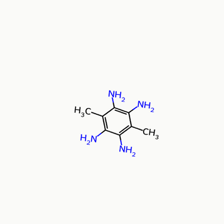 Cc1c(N)c(N)c(C)c(N)c1N